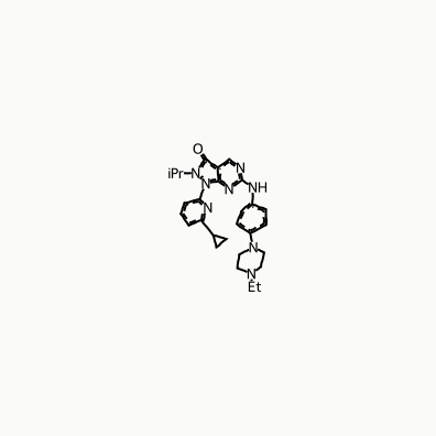 CCN1CCN(c2ccc(Nc3ncc4c(=O)n(C(C)C)n(-c5cccc(C6CC6)n5)c4n3)cc2)CC1